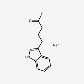 O=C([O-])CCCc1c[nH]c2ccccc12.[Na+]